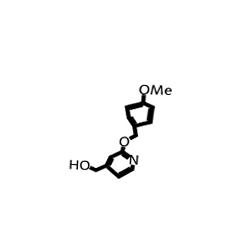 COc1ccc(COc2cc(CO)ccn2)cc1